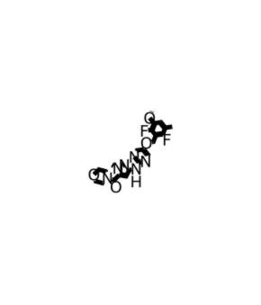 COc1cc(C)c(F)c(COc2cnc(Nc3cc(C(=O)N4CCOCC4)n(C)n3)nc2)c1F